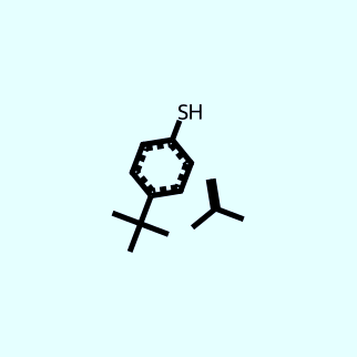 C=C(C)C.CC(C)(C)c1ccc(S)cc1